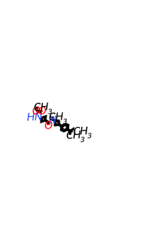 CCC(C)c1ccc(C2CC(N(C)C(=O)C3CC(NC(=O)OC)C3)C2)cc1